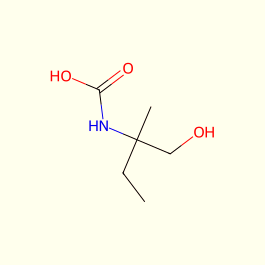 CCC(C)(CO)NC(=O)O